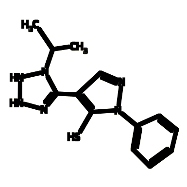 CC(C)N1NNN=C1c1cnn(-c2ccccc2)c1S